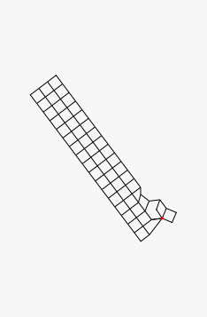 C1CC2C1C1CC3C4CC5C6C7C8C9C%10C%11C%12C%13C%14C%15C%16C%17C%18C%19C%20CC%21C%22CC%23C%24C%25C%26C%27C%28C%29C%30C%31C%32C%33C%34C%35C%36C1C1%37C23C45C61C71C%36%37C%352C81C91C%342C%332C%101C%111C%322C%312C%303C%294C%285C%276C%267C%258C%249C%22%23C%21%20C%199C%188C%177C%166C%155C%144C%133C%1212